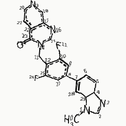 CN1C=NC2C=CC(c3cc(F)c(Cn4cnc5cnccc5c4=O)c(F)c3)=CC21